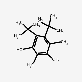 Cc1c(C)c(O)c(C(C)(C)C)c(C(C)(C)C)c1C